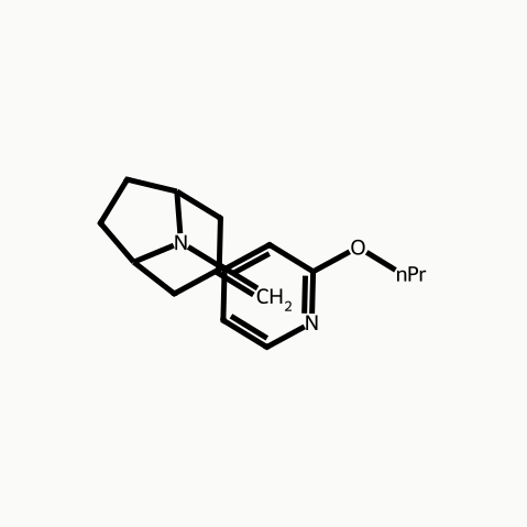 C=C1CC2CCC(C1)N2c1ccnc(OCCC)c1